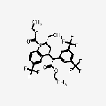 CCOC(=O)[C@@H](c1cc(C(F)(F)F)cc(C(F)(F)F)c1)[C@@H]1C[C@@H](CC)N(C(=O)OCC)c2ccc(C(F)(F)F)cc21